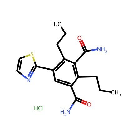 CCCc1c(C(N)=O)cc(-c2nccs2)c(CCC)c1C(N)=O.Cl